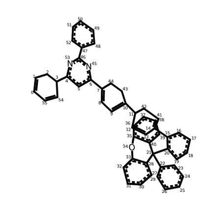 C1=CCC(c2cc(C3=CC=C(C4C=CC(c5ccccc5C5(c6ccccc6)c6ccccc6Oc6ccccc65)=CC4)CC3)nc(-c3ccccc3)n2)C=C1